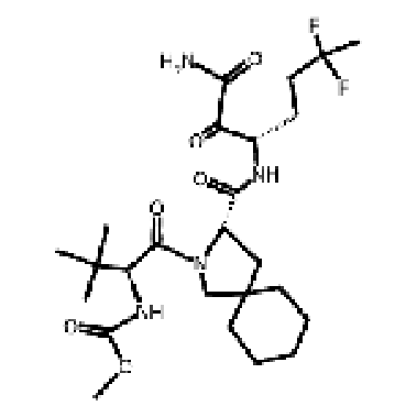 COC(=O)N[C@H](C(=O)N1CC2(CCCCC2)C[C@H]1C(=O)N[C@@H](CCC(C)(F)F)C(=O)C(N)=O)C(C)(C)C